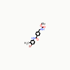 Cc1cc(NC(=O)c2ccc(CNC(=O)OC(C)(C)C)cc2)ccc1Br